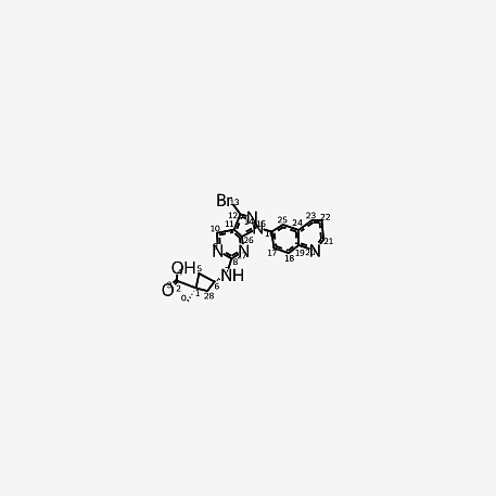 C[C@]1(C(=O)O)C[C@H](Nc2ncc3c(Br)nn(-c4ccc5ncccc5c4)c3n2)C1